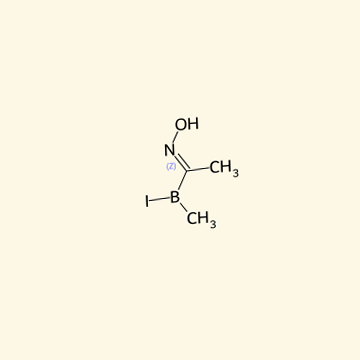 CB(I)/C(C)=N/O